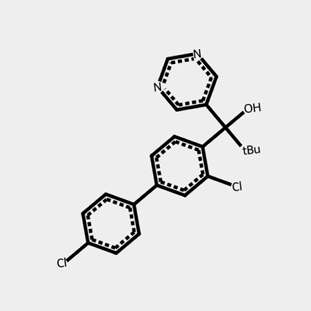 CC(C)(C)C(O)(c1cncnc1)c1ccc(-c2ccc(Cl)cc2)cc1Cl